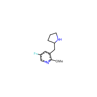 COc1ncc(F)cc1CC1CCCN1